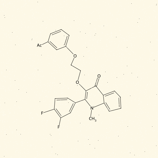 CC(=O)c1cccc(OCCOc2c(-c3ccc(F)c(F)c3)n(C)c3ccccc3c2=O)c1